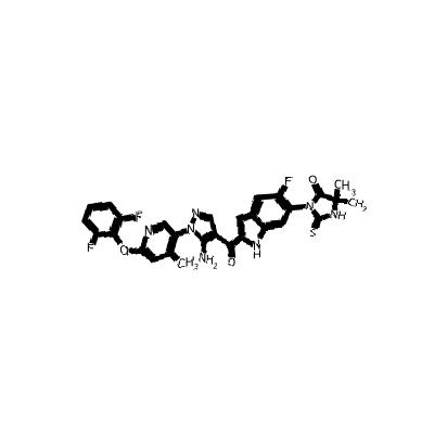 Cc1cc(Oc2c(F)cccc2F)ncc1-n1ncc(C(=O)c2cc3cc(F)c(N4C(=O)C(C)(C)NC4=S)cc3[nH]2)c1N